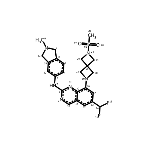 CN1Cc2ccc(Nc3ncc4cc(C(F)F)cc(N5CC6(C5)CN(S(C)(=O)=O)C6)c4n3)cc2C1